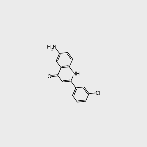 Nc1ccc2[nH]c(-c3cccc(Cl)c3)cc(=O)c2c1